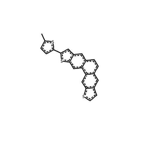 Cc1ccc(-c2cc3cc4ccc5cc6ccsc6cc5c4cc3s2)s1